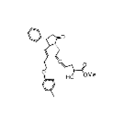 COC(=O)C(O)CC=C=CC[C@H]1C(=O)C[C@@H](c2ccccc2)[C@@H]1/C=C/CCOc1ccc(C)cc1